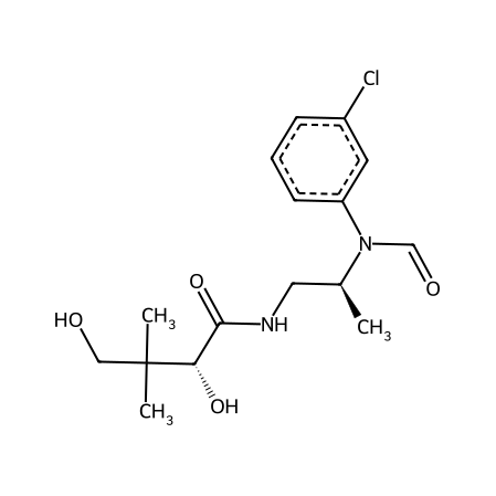 C[C@@H](CNC(=O)[C@H](O)C(C)(C)CO)N(C=O)c1cccc(Cl)c1